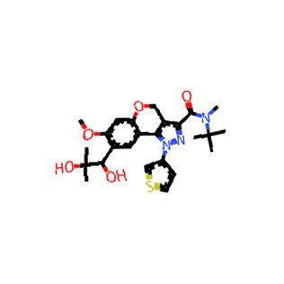 COc1cc2c(cc1C(O)C(C)(C)O)-c1c(c(C(=O)N(C)C(C)(C)C)nn1-c1ccsc1)CO2